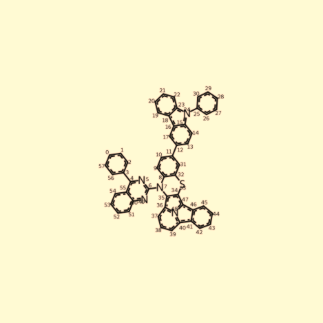 c1ccc(-c2nc(N3c4ccc(-c5ccc6c(c5)c5ccccc5n6-c5ccccc5)cc4Sc4c3c3cccc5c6ccccc6c4n35)nc3ccccc23)cc1